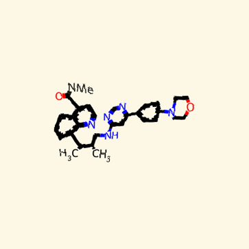 CNC(=O)c1ccnc2c(C(C)[C@H](C)CNc3cc(-c4ccc(N5CCOCC5)cc4)ncn3)cccc12